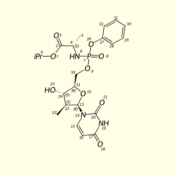 CC(C)OC(=O)[C@H](C)NP(=O)(OC[C@H]1O[C@@H](n2ccc(=O)[nH]c2=O)[C@@H](C)[C@@H]1O)Oc1ccccc1